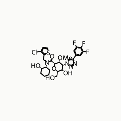 CO[C@@H]1[C@@H](n2cc(-c3cc(F)c(F)c(F)c3)nn2)[C@@H](O)[C@@H](CO)O[C@H]1C(=O)N(Cc1sccc1Cl)[C@H]1CCCC[C@@H]1O